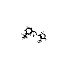 O=c1ssc(NCc2cccc(C(F)(F)F)c2)c1Cl